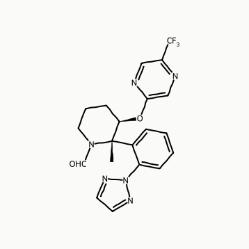 C[C@]1(c2ccccc2-n2nccn2)[C@H](Oc2cnc(C(F)(F)F)cn2)CCCN1C=O